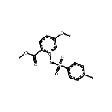 COC(=O)c1ccc(OC)c[n+]1[N-]S(=O)(=O)c1ccc(C)cc1